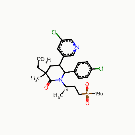 C[C@@H](CCS(=O)(=O)C(C)(C)C)N1C(=O)C(C)(CC(=O)O)CC(c2cncc(Cl)c2)C1c1ccc(Cl)cc1